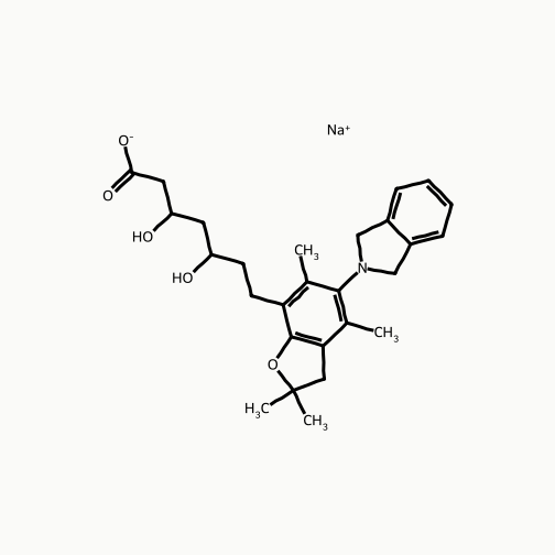 Cc1c(CCC(O)CC(O)CC(=O)[O-])c2c(c(C)c1N1Cc3ccccc3C1)CC(C)(C)O2.[Na+]